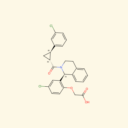 O=C(O)COc1ccc(Cl)cc1[C@@H]1c2ccccc2CCN1C(=O)[C@@H]1C[C@H]1c1cccc(Cl)c1